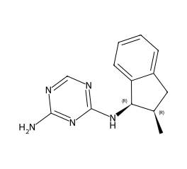 C[C@@H]1Cc2ccccc2[C@@H]1Nc1ncnc(N)n1